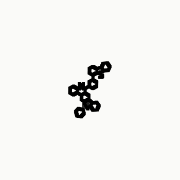 c1ccc(-n2c3ccccc3c3cc4c(-c5cccc(-c6cccc7c6sc6ccccc67)c5)nc5ccccc5c4cc32)cc1